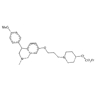 CCOC(=O)OC1CCN(CCCOc2ccc3c(c2)CN(C)CC3c2ccc(OC)cc2)CC1